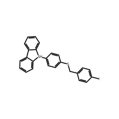 Ic1ccc(CSc2ccc([SH]3c4ccccc4-c4ccccc43)cc2)cc1